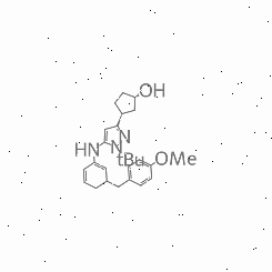 COc1ccc(CC2C=C(Nc3cc([C@H]4CC[C@@H](O)C4)nn3C(C)(C)C)C=CC2)cc1